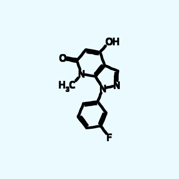 Cn1c(=O)cc(O)c2cnn(-c3cccc(F)c3)c21